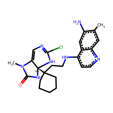 Cc1cc2nccc(NCCC3([C@@]45NC(=O)N(C)C4=CN=C(Cl)N5)CCCCC3)c2cc1N